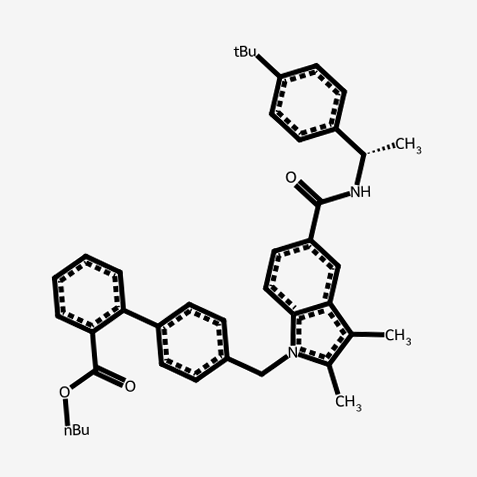 CCCCOC(=O)c1ccccc1-c1ccc(Cn2c(C)c(C)c3cc(C(=O)N[C@@H](C)c4ccc(C(C)(C)C)cc4)ccc32)cc1